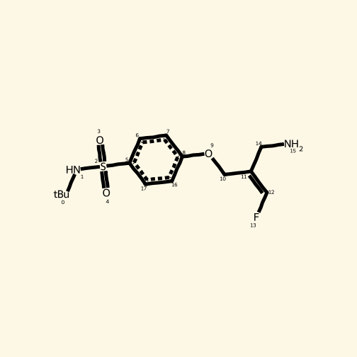 CC(C)(C)NS(=O)(=O)c1ccc(OC/C(=C\F)CN)cc1